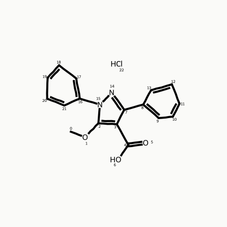 COc1c(C(=O)O)c(-c2ccccc2)nn1-c1ccccc1.Cl